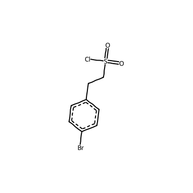 O=S(=O)(Cl)CCc1ccc(Br)cc1